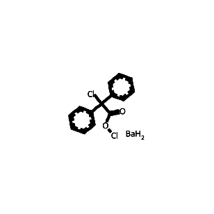 O=C(OCl)C(Cl)(c1ccccc1)c1ccccc1.[BaH2]